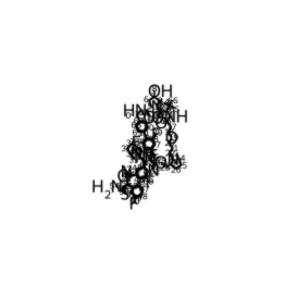 C[C@H](NC(=O)[C@@H]1C[C@@H](O)CN1C(=O)[C@@H](NC(=O)CCOCCCN1CCC[C@H]1COc1nc(N2CC3CCC(C2)N3)c2cc(Cl)c(-c3ccc(F)c4sc(N)c(C#N)c34)c(F)c2n1)C(C)(C)C)c1ccc(-c2c(F)cc(F)cc2F)cc1